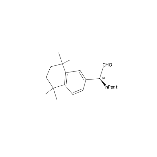 CCCCC[C@H](C=O)c1ccc2c(c1)C(C)(C)CCC2(C)C